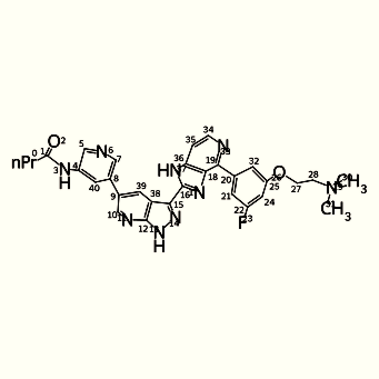 CCCC(=O)Nc1cncc(-c2cnc3[nH]nc(-c4nc5c(-c6cc(F)cc(OCCN(C)C)c6)nccc5[nH]4)c3c2)c1